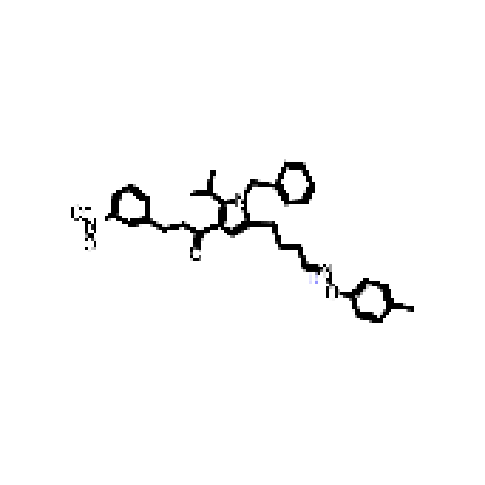 Cc1ccc(O/N=C/CCCc2cc(C(=O)CCc3cccc([N+](=O)[O-])c3)c(C(C)C)n2Cc2ccccc2)cc1